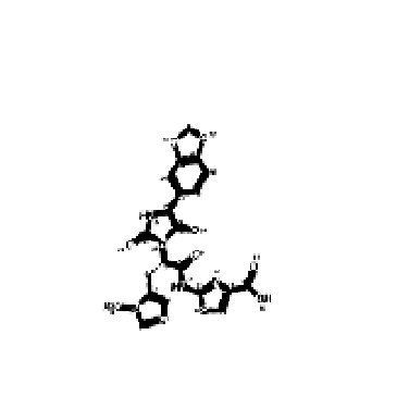 Cn1cncc1C[C@@H](C(=O)Nc1nc(C(=O)O)cs1)N1C(=O)NC(c2ccc3c(c2)OCO3)C1=O